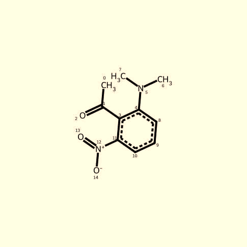 CC(=O)c1c(N(C)C)cccc1[N+](=O)[O-]